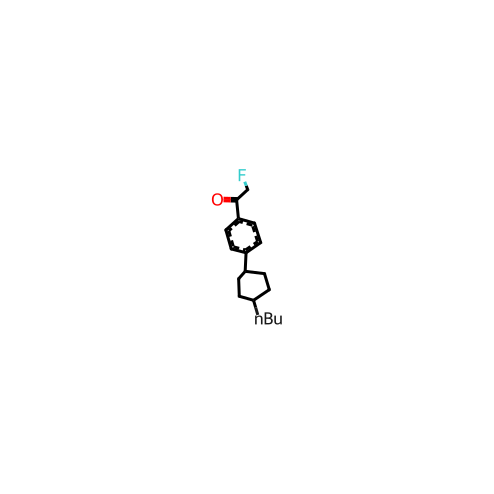 CCCCC1CCC(c2ccc(C(=O)CF)cc2)CC1